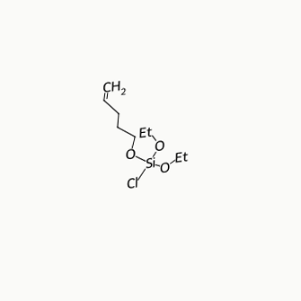 C=CCCCO[Si](Cl)(OCC)OCC